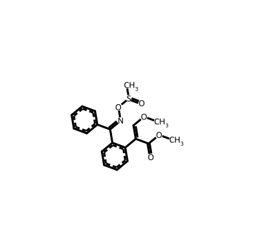 COC=C(C(=O)OC)c1ccccc1C(=NOS(C)=O)c1ccccc1